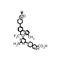 Cc1ccn(-c2cc(C3CCN(C[SH](=O)=O)CC3)ccc2[C@@H](Oc2cc(N3CCC4(CC3)CNC(C(=O)O)C4)nc(N)n2)C(F)(F)F)n1